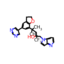 CC(C)(CC(O)(Cn1ccc2ncccc21)C(F)(F)F)c1cc(-c2cncnc2)cc2c1OCC2